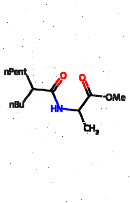 CCCCCC(CCCC)C(=O)NC(C)C(=O)OC